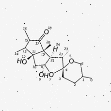 CC1CC[C@@]2(OC1)O[C@@]1(O)C[C@]3(O)C(C)C(C)C(=O)[C@]3(C)[C@H]1[C@@H]2C